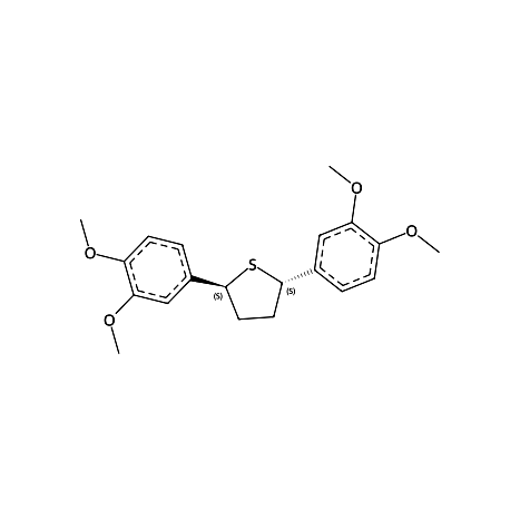 COc1ccc([C@@H]2CC[C@@H](c3ccc(OC)c(OC)c3)S2)cc1OC